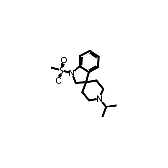 CC(C)N1CCC2(CC1)CN(S(C)(=O)=O)c1ccccc12